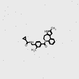 Cc1cc2c([nH]1)CCN(C(=O)c1ccc(CNC(=O)C3CC3)c(C)c1)c1ccccc1-2